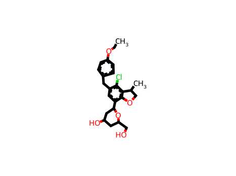 CCOc1ccc(Cc2cc(C3CC(O)CC(CO)O3)c3c(c2Cl)C(C)CO3)cc1